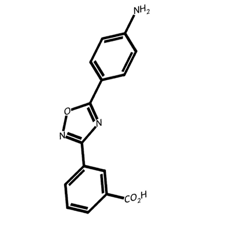 Nc1ccc(-c2nc(-c3cccc(C(=O)O)c3)no2)cc1